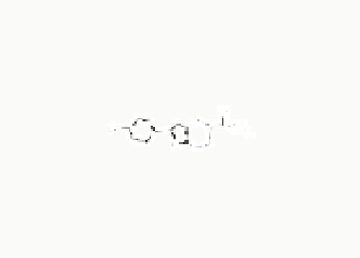 CC(=O)N1CCc2oc(-c3ccc(Br)cc3)cc2C1